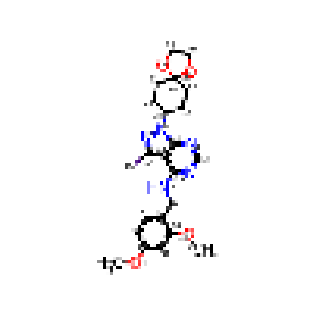 COc1ccc(CNc2ncnc3c2c(I)nn3C2CCC3(CC2)OCCO3)c(OC)c1